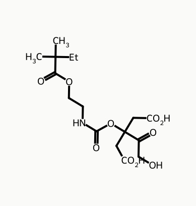 CCC(C)(C)C(=O)OCCNC(=O)OC(CC(=O)O)(CC(=O)O)C(=O)CO